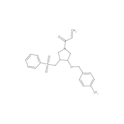 C=CC(=O)N1CC(CS(=O)(=O)c2ccccc2)C(OCc2ccc(C(F)(F)F)cc2)C1